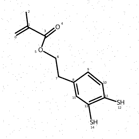 C=C(C)C(=O)OCCc1ccc(S)c(S)c1